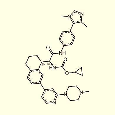 Cc1ncn(C)c1-c1ccc(NC(=O)[C@@H](NC(=O)OC2CC2)[C@@H]2CCCc3ccc(-c4ccnc(N5CCN(C)CC5)c4)cc32)cc1